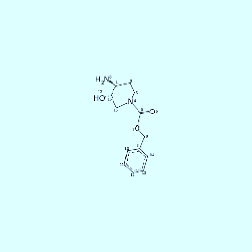 N[C@H]1CCN(C(=O)OCc2ccccc2)C[C@@H]1O